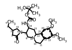 CCC1CC(=O)N(C2CN3CCc4cc(OC)c(OC)cc4C3CC2NC(=O)OC(C)(C)C)C1